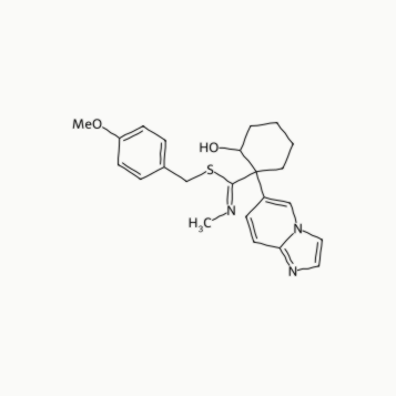 CN=C(SCc1ccc(OC)cc1)C1(c2ccc3nccn3c2)CCCCC1O